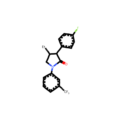 CCC1CN(c2cccc(C(F)(F)F)c2)C(=O)C1c1ccc(F)cc1